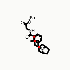 CC(C)(C)OC(=O)CNC(=O)OC(C)(C)CC1CC2CCC(C1)N2Cc1ccccc1